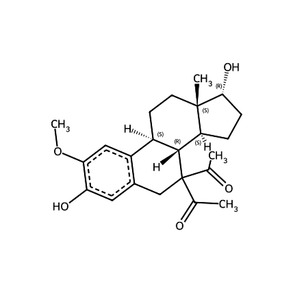 COc1cc2c(cc1O)CC(C(C)=O)(C(C)=O)[C@@H]1[C@@H]2CC[C@]2(C)[C@H](O)CC[C@@H]12